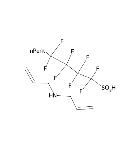 C=CCNCC=C.CCCCCC(F)(F)C(F)(F)C(F)(F)C(F)(F)S(=O)(=O)O